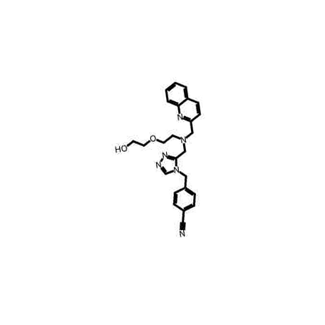 N#Cc1ccc(Cn2cnnc2CN(CCOCCO)Cc2ccc3ccccc3n2)cc1